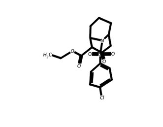 CCOC(=O)C1C(=O)CC2CCCC1N2S(=O)(=O)c1ccc(Cl)cc1